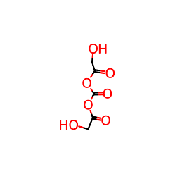 O=C(CO)OC(=O)OC(=O)CO